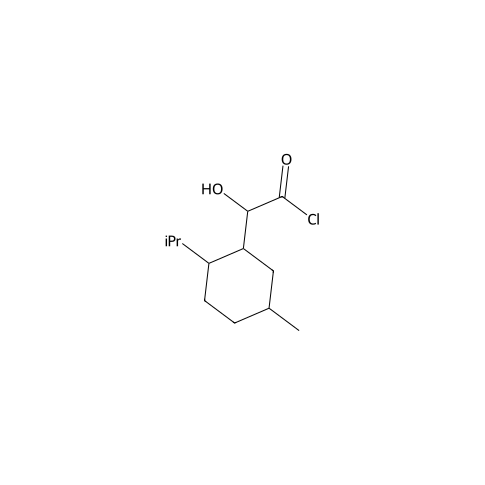 CC1CCC(C(C)C)C(C(O)C(=O)Cl)C1